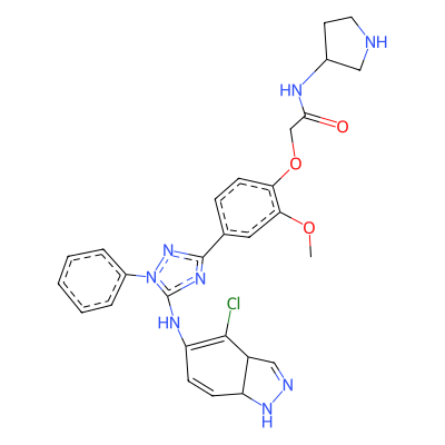 COc1cc(-c2nc(NC3=C(Cl)C4C=NNC4C=C3)n(-c3ccccc3)n2)ccc1OCC(=O)NC1CCNC1